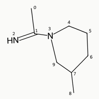 CC(=N)N1CCCC(C)C1